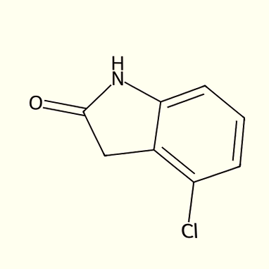 O=C1Cc2c(Cl)cccc2N1